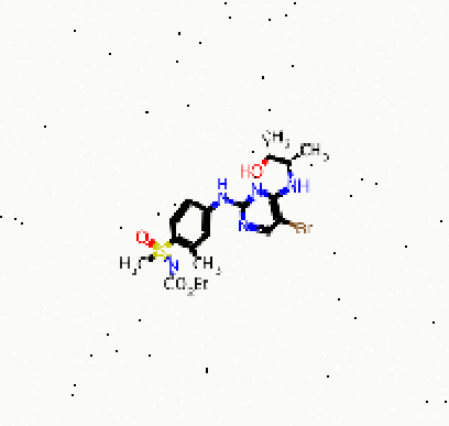 CCOC(=O)N=S(C)(=O)c1ccc(Nc2ncc(Br)c(N[C@H](C)[C@@H](C)O)n2)cc1C